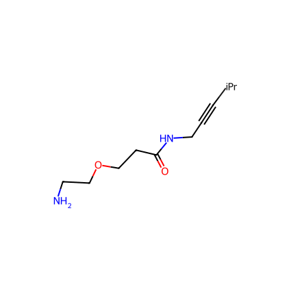 CC(C)C#CCNC(=O)CCOCCN